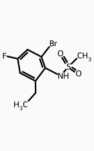 CCc1cc(F)cc(Br)c1NS(C)(=O)=O